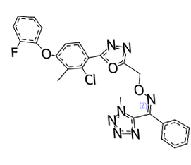 Cc1c(Oc2ccccc2F)ccc(-c2nnc(CO/N=C(/c3ccccc3)c3nnnn3C)o2)c1Cl